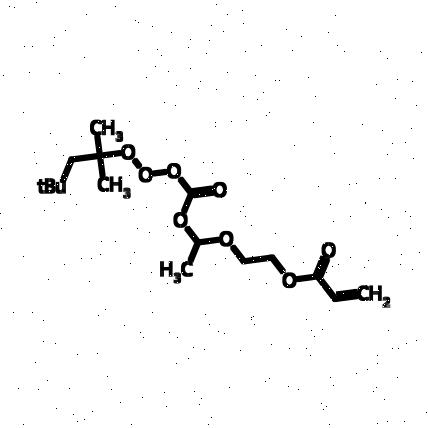 C=CC(=O)OCCOC(C)OC(=O)OOOC(C)(C)CC(C)(C)C